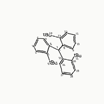 CC(C)(C)c1ccccc1[C](c1ccccc1C(C)(C)C)c1ccccc1C(C)(C)C